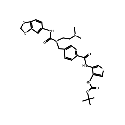 CN(C)CCN(Cc1ccc(C(=O)Nc2cscc2NC(=O)OC(C)(C)C)nc1)C(=O)Nc1ccc2c(c1)OCO2